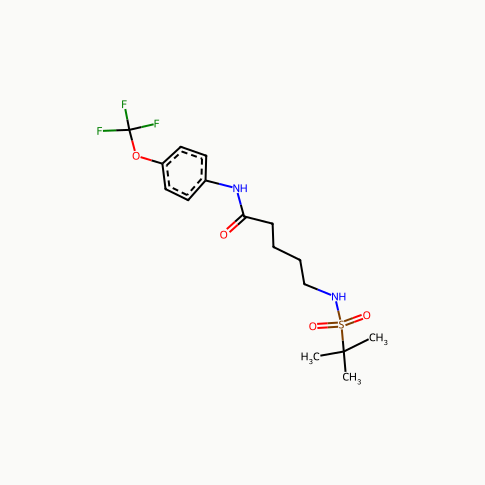 CC(C)(C)S(=O)(=O)NCCCCC(=O)Nc1ccc(OC(F)(F)F)cc1